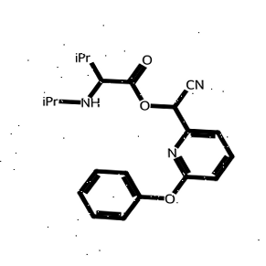 CC(C)NC(C(=O)OC(C#N)c1cccc(Oc2ccccc2)n1)C(C)C